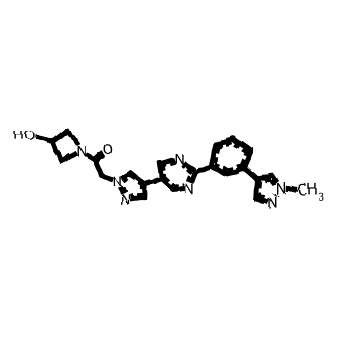 Cn1cc(-c2cccc(-c3ncc(-c4cnn(CC(=O)N5CC(O)C5)c4)cn3)c2)cn1